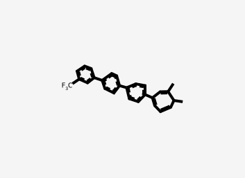 CC1=CC(c2ccc(-c3ccc(-c4cccc(C(F)(F)F)c4)cc3)cc2)=CC=CC1C